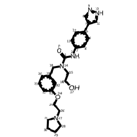 O=C(Nc1ccc(-c2cn[nH]c2)cc1)N(CCO)Cc1cccc(OCCN2CCCC2)c1